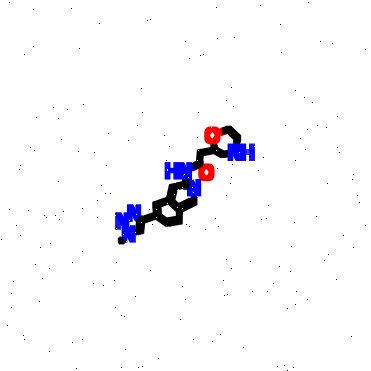 Cn1cc(-c2ccc3cnc(NC(=O)CC4CNCCO4)cc3c2)nn1